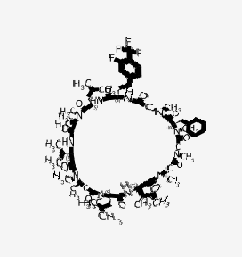 CC[C@H](C)[C@@H]1NC(=O)[C@H](CC(C)C)N(C)C(=O)C[C@@H](C)N(C)C(=O)[C@H](C(C)C)NC(=O)C(C)(C)N(C)C(=O)[C@H](CC(C)C)NC(=O)[C@H](CCc2ccc(C(F)(F)F)c(F)c2)NC(=O)CN(C)C(=O)[C@H](CC2CCCCC2)N(C)C(=O)CN(C)C(=O)CN(C)C1=O